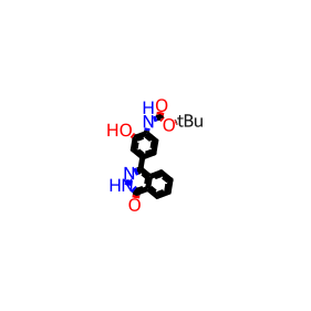 CC(C)(C)OC(=O)Nc1ccc(-c2n[nH]c(=O)c3ccccc23)cc1O